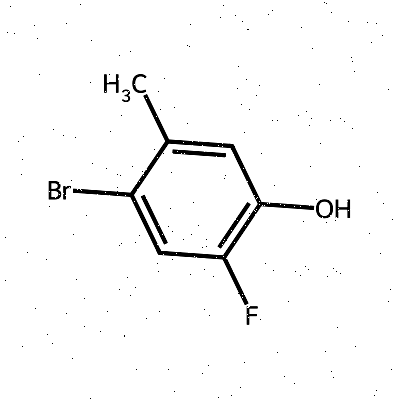 Cc1cc(O)c(F)cc1Br